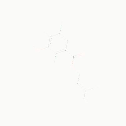 COc1c(F)c(F)cc(C(=O)OCC=C(C)C)c1F